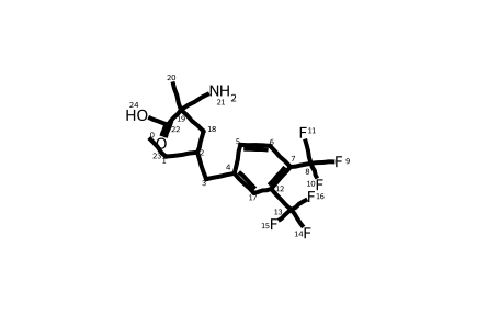 CCC(Cc1ccc(C(F)(F)F)c(C(F)(F)F)c1)CC(C)(N)C(=O)O